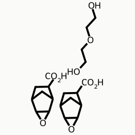 O=C(O)C1CC2CC1C1OC21.O=C(O)C1CC2CC1C1OC21.OCCOCCO